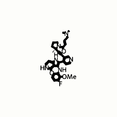 COc1c(F)cccc1Nc1c(-c2ccncc2C#C[C@@]2(C)CCCN2C(=O)/C=C/CN(C)C)[nH]c2cc[nH]c(=O)c12